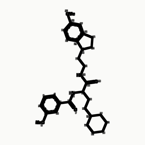 COc1cccc(C(=O)NC(CCC2CCCCC2)C(=O)NCCN2CCc3cc(OC)ccc32)c1